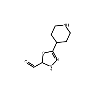 O=CC1NN=C(C2CCNCC2)O1